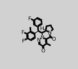 Cc1c([C@@H](c2cccc(F)c2)[C@H]2[C@H]3CCCN3C(=O)c3c(C)c(=O)cnn32)ccc(F)c1F